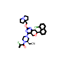 C=C(F)C(=O)N1CCN(c2nc(OCC34CCCN3CCC4)nc3c2COC(c2cccc4cccc(Cl)c24)C3)C[C@H]1CC#N